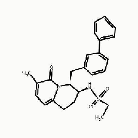 CCS(=O)(=O)N[C@H]1CCc2ccc(C)c(=O)n2[C@H]1Cc1cccc(-c2ccccc2)c1